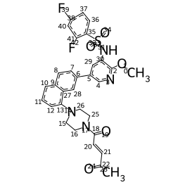 COc1ncc(-c2ccc3cccc(N4CCN(C(=O)/C=C/C(C)=O)CC4)c3c2)cc1NS(=O)(=O)c1ccc(F)cc1F